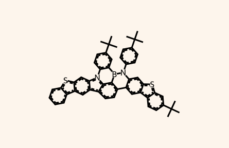 CC(C)(C)c1ccc(N2B3c4cc(C(C)(C)C)ccc4-n4c5cc6sc7ccccc7c6cc5c5ccc(c3c54)-c3cc4c(cc32)sc2cc(C(C)(C)C)ccc24)cc1